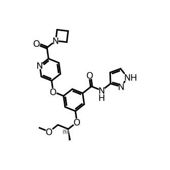 COC[C@H](C)Oc1cc(Oc2ccc(C(=O)N3CCC3)nc2)cc(C(=O)Nc2cc[nH]n2)c1